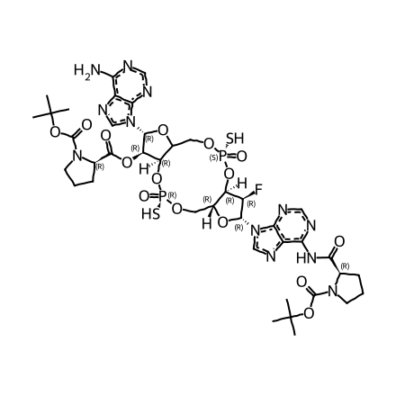 CC(C)(C)OC(=O)N1CCC[C@@H]1C(=O)Nc1ncnc2c1ncn2[C@@H]1O[C@@H]2CO[P@@](=O)(S)O[C@@H]3C(CO[P@](=O)(S)O[C@H]2[C@H]1F)O[C@@H](n1cnc2c(N)ncnc21)[C@@H]3OC(=O)[C@H]1CCCN1C(=O)OC(C)(C)C